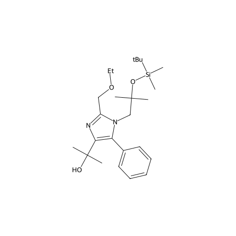 CCOCc1nc(C(C)(C)O)c(-c2ccccc2)n1CC(C)(C)O[Si](C)(C)C(C)(C)C